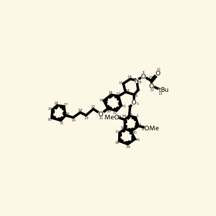 COc1cc(COC2CN(OC(=O)OC(C)(C)C)CCC2c2ccc(OCCCCc3ccccc3)cc2)c(OC)c2ccccc12